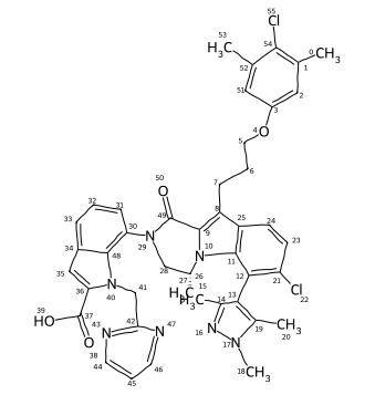 Cc1cc(OCCCc2c3n(c4c(-c5c(C)nn(C)c5C)c(Cl)ccc24)[C@H](C)CN(c2cccc4cc(C(=O)O)n(Cc5ncccn5)c24)C3=O)cc(C)c1Cl